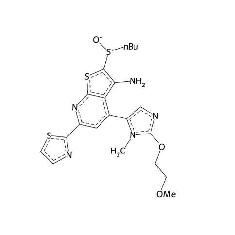 CCCC[S+]([O-])c1sc2nc(-c3nccs3)cc(-c3cnc(OCCOC)n3C)c2c1N